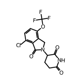 O=C1CCC(N2Cc3c(OC(F)(F)F)ccc(Cl)c3C2=O)C(=O)N1